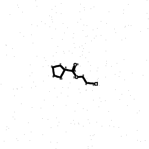 O=C(OCCCl)C1CCCC1